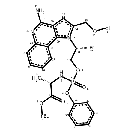 CCCCOC(=O)[C@H](C)NP(=O)(OC[C@@H](C(C)C)n1c(COCC)nc2c(N)nc3ccccc3c21)Oc1ccccc1